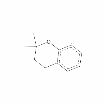 CC1(C)CCc2ccc[c]c2O1